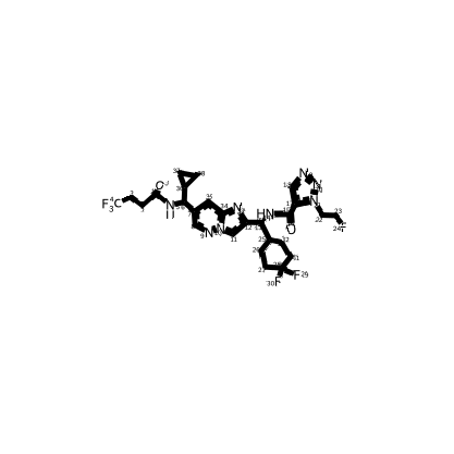 O=C(CCC(F)(F)F)NC(c1cnn2cc([C@@H](NC(=O)c3cnnn3CCF)C3CCC(F)(F)CC3)nc2c1)C1CC1